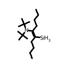 CCCCC([SiH3])=C(CCCC)N(C(C)(C)C)C(C)(C)C